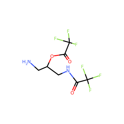 NCC(CNC(=O)C(F)(F)F)OC(=O)C(F)(F)F